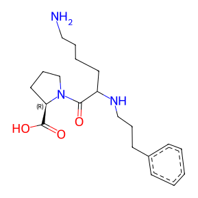 NCCCCC(NCCCc1ccccc1)C(=O)N1CCC[C@@H]1C(=O)O